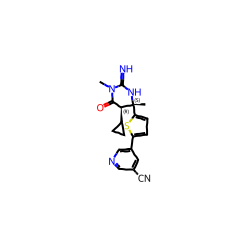 CN1C(=N)N[C@](C)(c2ccc(-c3cncc(C#N)c3)s2)[C@@H](C2CC2)C1=O